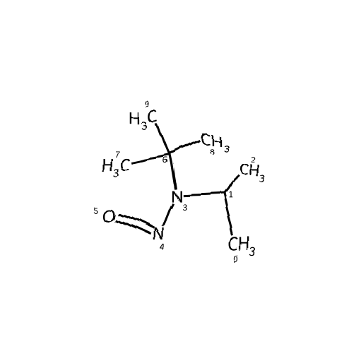 CC(C)N(N=O)C(C)(C)C